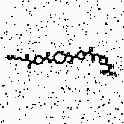 N=C(N)Nc1ccc(CNC(=O)N2CCN(C(=O)OC3CCCC(OC(=O)N4CCN(C(=O)NCCCN)CC4)CCC3)CC2)cc1